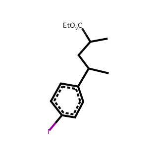 CCOC(=O)C(C)CC(C)c1ccc(I)cc1